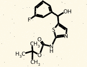 CC(C)(C)OC(=O)Nc1ncc(C(O)c2cccc(F)c2)s1